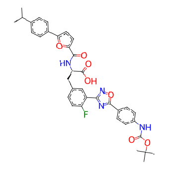 CC(C)c1ccc(-c2ccc(C(=O)N[C@H](Cc3ccc(F)c(-c4noc(-c5ccc(NC(=O)OC(C)(C)C)cc5)n4)c3)C(=O)O)o2)cc1